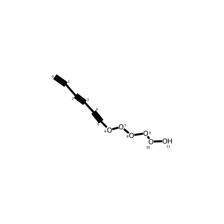 C#CC#CC#COOOOOO